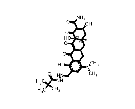 CN(C)c1cc(CNNC(=O)C(C)(C)C)c(O)c2c1CC1C[C@H]3CC(O)=C(C(N)=O)C(=O)[C@@]3(O)C(O)=C1C2=O